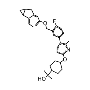 C=C(/C=C1/CC2CC2/C1=C/C)OCc1cc(-c2ccc(OC3CCC(C(C)(C)O)CC3)nc2C)ccc1F